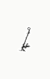 O=C(NCCOCCOCCOCCOCCNC(=O)C(CNC(=O)c1cc(CBr)nc(CBr)c1)CNC(=O)c1cc(CBr)nc(CBr)c1)OCC1C2CCC#CCCC21